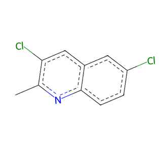 Cc1nc2ccc(Cl)cc2cc1Cl